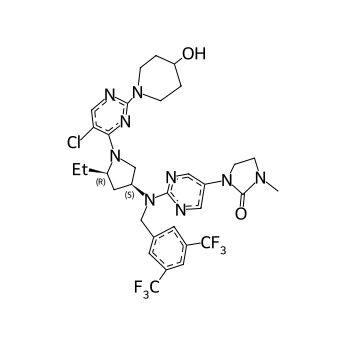 CC[C@@H]1C[C@H](N(Cc2cc(C(F)(F)F)cc(C(F)(F)F)c2)c2ncc(N3CCN(C)C3=O)cn2)CN1c1nc(N2CCC(O)CC2)ncc1Cl